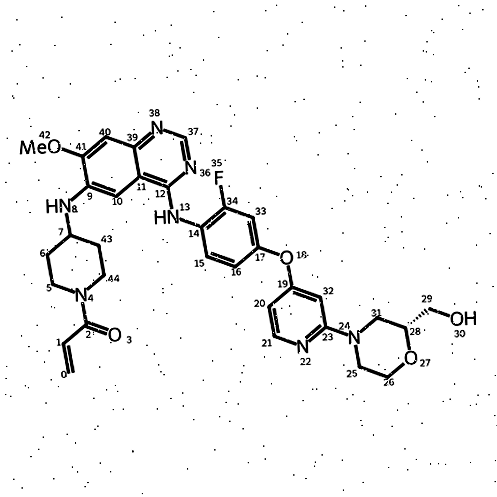 C=CC(=O)N1CCC(Nc2cc3c(Nc4ccc(Oc5ccnc(N6CCO[C@@H](CO)C6)c5)cc4F)ncnc3cc2OC)CC1